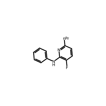 [CH2]CCc1ccc(F)c(Nc2ccccc2)n1